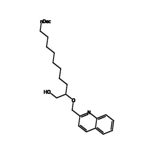 CCCCCCCCCCCCCCCCCCC(CO)OCc1ccc2ccccc2n1